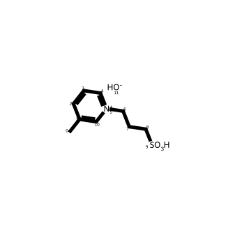 Cc1ccc[n+](CCCS(=O)(=O)O)c1.[OH-]